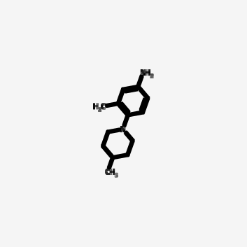 Cc1cc(N)ccc1N1CCC(C)CC1